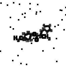 CC(=CC1C=CC=C1)C(=O)Oc1ccc(C)cc1